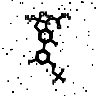 CC1(C)Cc2cc(-c3cc(F)cc(OCC(F)(F)F)c3)c(F)cc2[C@@H]1OC(N)=O